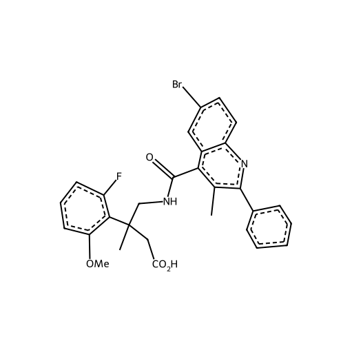 COc1cccc(F)c1C(C)(CNC(=O)c1c(C)c(-c2ccccc2)nc2ccc(Br)cc12)CC(=O)O